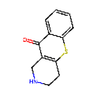 O=c1c2c(sc3ccccc13)CCNC2